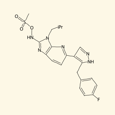 CC(C)Cn1c(NOS(C)(=O)=O)nc2ccc(-c3cn[nH]c3Cc3ccc(F)cc3)nc21